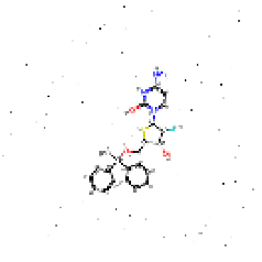 CC(C)(C)[Si](OC[C@H]1S[C@@H](n2ccc(N)nc2=O)[C@@H](F)[C@@H]1O)(c1ccccc1)c1ccccc1